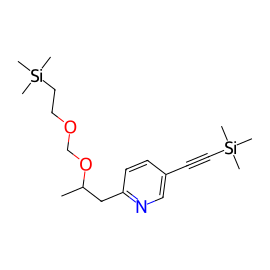 CC(Cc1ccc(C#C[Si](C)(C)C)cn1)OCOCC[Si](C)(C)C